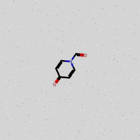 O=Cn1ccc(=O)cc1